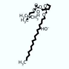 CCCCCCCCCCCCCCCCCCOC[C@]1(COP(=O)(O)OCC[N+](C)(C)C)CCCO1.[OH-]